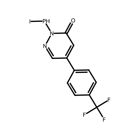 O=c1cc(-c2ccc(C(F)(F)F)cc2)cnn1PI